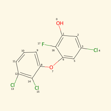 Oc1cc(Cl)cc(Oc2cccc(Cl)c2Cl)c1F